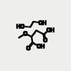 COC(CC(=O)O)C(=O)O.OCCO